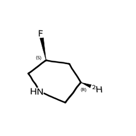 [2H][C@H]1CNC[C@@H](F)C1